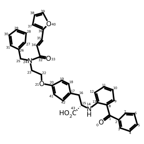 O=C(c1ccccc1)c1ccccc1N[C@@H](Cc1ccc(OCCN(Cc2ccccc2)C(=O)C=Cc2ccco2)cc1)C(=O)O